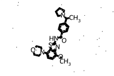 COc1ccc(N2CCOCC2)c2sc(NC(=O)c3ccc(C(C)N4CCCC4)cc3)nc12